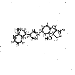 CN1CC[C@](O)(c2cccc(-n3ncc(-c4c[nH]c5ncccc45)n3)c2)C1=O